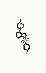 CN1CCN(c2cccc3c2ccn3S(=O)(=O)c2ccc(F)cc2)CC1